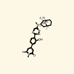 CN(c1cnc(-c2ccc(-c3cc(F)n(C)c(=O)c3)cc2O)nn1)[C@H]1C[C@]2(C)CCC[C@@H](N2)[C@H]1F